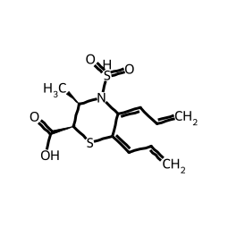 C=C/C=C1/S[C@@H](C(=O)O)[C@@H](C)N([SH](=O)=O)/C1=C/C=C